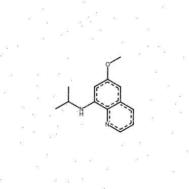 COc1cc(NC(C)C)c2ncccc2c1